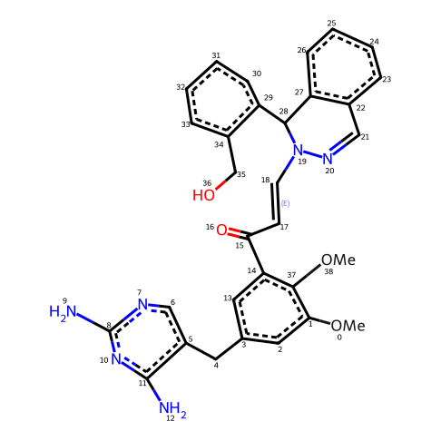 COc1cc(Cc2cnc(N)nc2N)cc(C(=O)/C=C/N2N=Cc3ccccc3C2c2ccccc2CO)c1OC